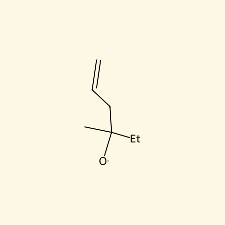 C=CCC(C)([O])CC